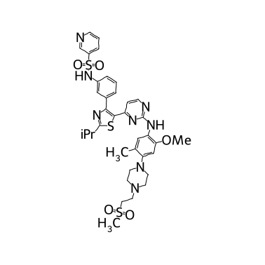 COc1cc(N2CCN(CCS(C)(=O)=O)CC2)c(C)cc1Nc1nccc(-c2sc(C(C)C)nc2-c2cccc(NS(=O)(=O)c3cccnc3)c2)n1